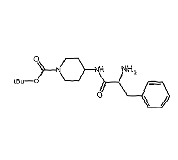 CC(C)(C)OC(=O)N1CCC(NC(=O)C(N)Cc2ccccc2)CC1